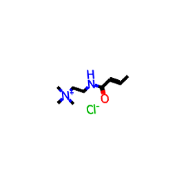 CC=CC(=O)NCC[N+](C)(C)C.[Cl-]